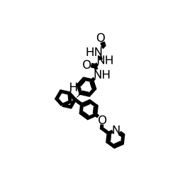 O=CNNC(=O)Nc1ccc([C@]2(c3ccc(OCc4ccccn4)cc3)CC3CC[C@@H]2C3)cc1